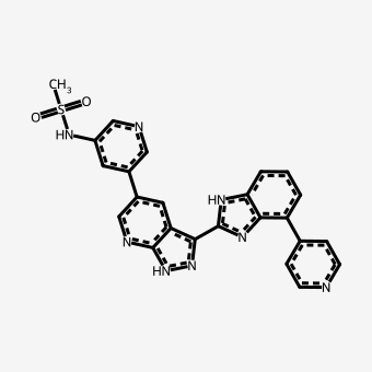 CS(=O)(=O)Nc1cncc(-c2cnc3[nH]nc(-c4nc5c(-c6ccncc6)cccc5[nH]4)c3c2)c1